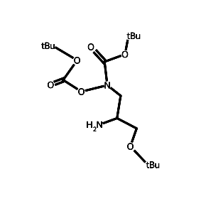 CC(C)(C)OCC(N)CN(OC(=O)OC(C)(C)C)C(=O)OC(C)(C)C